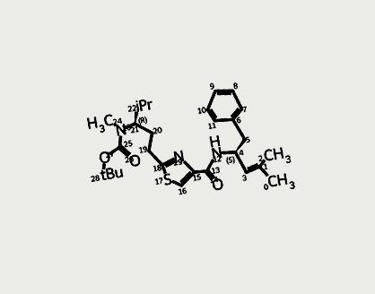 CC(C)=C[C@H](Cc1ccccc1)NC(=O)c1csc(CC[C@H](C(C)C)N(C)C(=O)OC(C)(C)C)n1